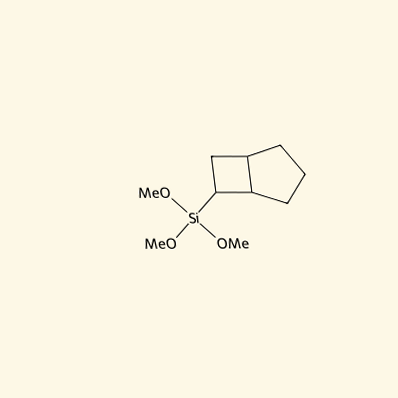 CO[Si](OC)(OC)C1CC2CCCC21